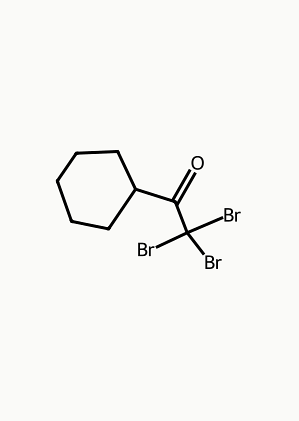 O=C(C1CCCCC1)C(Br)(Br)Br